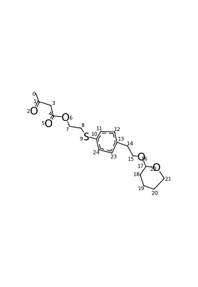 CC(=O)CC(=O)OCCSc1ccc(CCOC2CCCCO2)cc1